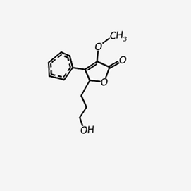 COC1=C(c2ccccc2)C(CCCO)OC1=O